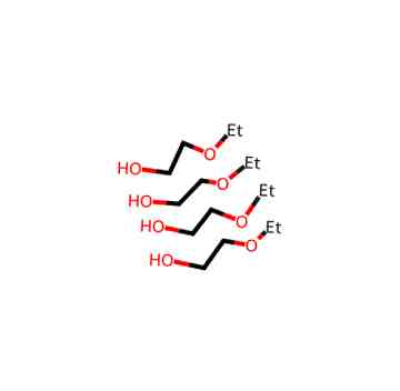 CCOCCO.CCOCCO.CCOCCO.CCOCCO